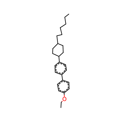 CCCCCCC1CCC(c2ccc(-c3ccc(OCC)cc3)cc2)CC1